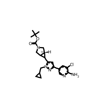 CC(C)(C)OC(=O)N1CC2C(c3cc(-c4cnc(N)c(Cl)c4)nn3CC3CC3)[C@H]2C1